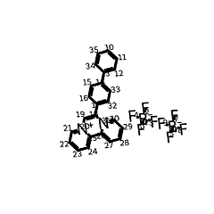 F[B-](F)(F)F.F[B-](F)(F)F.c1ccc(-c2ccc(-c3c[n+]4ccccc4c4cccc[n+]34)cc2)cc1